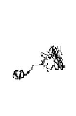 C[C@H](Cn1cnc2c(N)ncnc21)OCP(=O)(O)OCCOCCCCCCCCCC#Cc1ccc([Si](C)(C)C)cc1